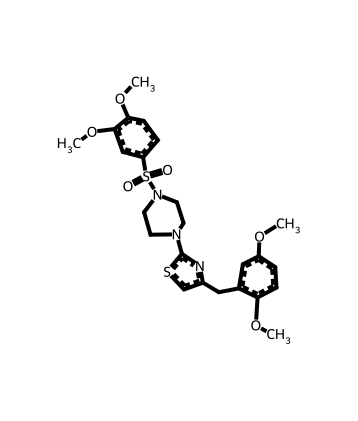 COc1ccc(OC)c(Cc2csc(N3CCN(S(=O)(=O)c4ccc(OC)c(OC)c4)CC3)n2)c1